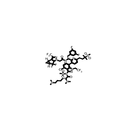 CN(C)CCCC[C@@H](C(=O)N(c1nn(CC(F)(F)F)c2c(-c3ccc(CCC(C)(C)S(C)(=O)=O)nc3[C@H](Cc3cc(F)cc(F)c3)NC(=O)Cn3nc(C(F)(F)F)c4c3C(F)(F)[C@@H]3C[C@H]43)ccc(Cl)c12)S(C)(=O)=O)N(C)C